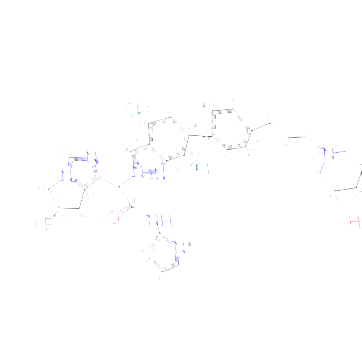 O=C(Nc1nccs1)C(c1ncn2c1C[C@@H](F)C2)n1cc2c(Cl)cc(-c3ccc(CCCN4CCC(CO)CC4)cc3)c(Cl)c2n1